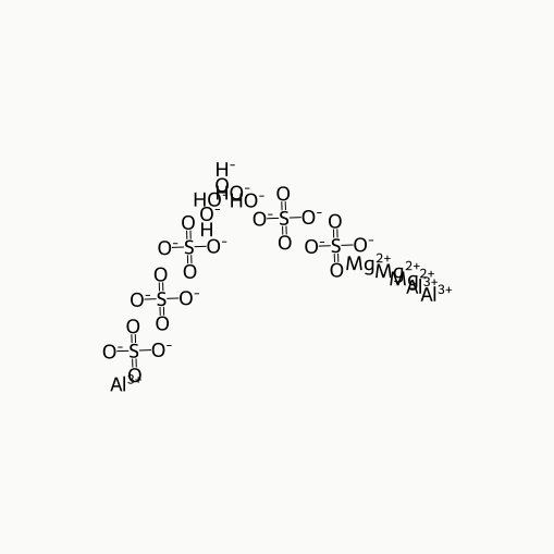 O=S(=O)([O-])[O-].O=S(=O)([O-])[O-].O=S(=O)([O-])[O-].O=S(=O)([O-])[O-].O=S(=O)([O-])[O-].[Al+3].[Al+3].[Al+3].[Mg+2].[Mg+2].[Mg+2].[OH-].[OH-].[OH-].[OH-].[OH-]